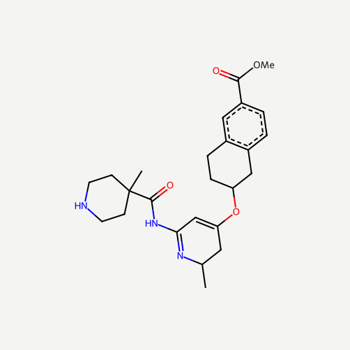 COC(=O)c1ccc2c(c1)CCC(OC1=CC(NC(=O)C3(C)CCNCC3)=NC(C)C1)C2